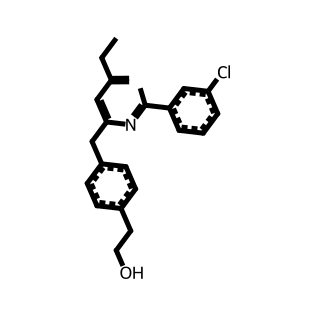 C=C(/C=C(Cc1ccc(CCO)cc1)\N=C(/C)c1cccc(Cl)c1)CC